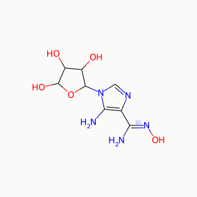 N/C(=N\O)c1ncn(C2OC(O)C(O)C2O)c1N